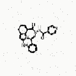 Nc1cc2c3n1C(c1ccccc1)=CN(NC(=O)c1ccncc1)C(=O)C3=CCC2